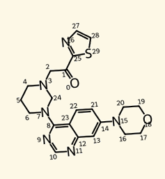 O=C(CN1CCCN(c2ncnc3cc(N4CCOCC4)ccc23)C1)c1nccs1